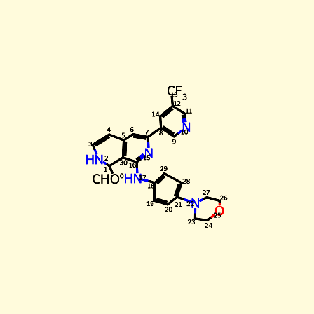 O=CC1NC=Cc2cc(-c3cncc(C(F)(F)F)c3)nc(Nc3ccc(N4CCOCC4)cc3)c21